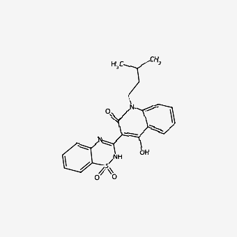 CC(C)CCn1c(=O)c(C2=Nc3ccccc3S(=O)(=O)N2)c(O)c2ccccc21